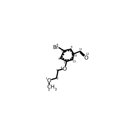 COCCOc1cc(Br)cc(C=O)c1